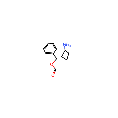 NC1CCC1.O=COCc1ccccc1